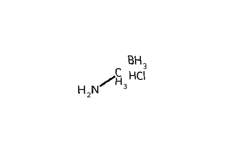 B.CN.Cl